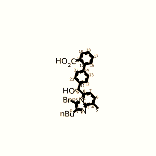 CCCCc1nc2c(C)ccc([C@H](O)c3ccc(-c4ccccc4C(=O)O)cc3)n2c1Br